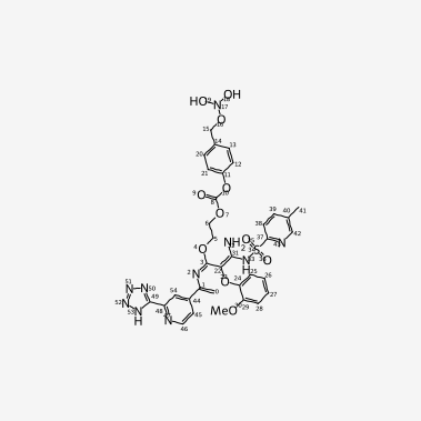 C=C(/N=C(OCCOC(=O)Oc1ccc(CON(O)O)cc1)\C(Oc1ccccc1OC)=C(/N)NS(=O)(=O)c1ccc(C)cn1)c1ccnc(-c2nnn[nH]2)c1